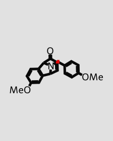 COc1ccc(CN2C3C=CC(=O)C2c2ccc(OC)cc23)cc1